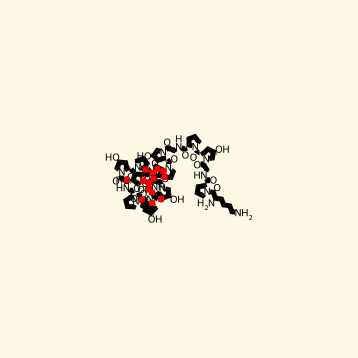 NCCCC[C@H](N)C(=O)N1CCC[C@H]1C(=O)NCC(=O)N1C[C@H](O)C[C@H]1C(=O)N1CCC[C@H]1C(=O)NCC(=O)N1C[C@H](O)C[C@H]1C(=O)N1CCC[C@H]1C(=O)NCC(=O)N1C[C@H](O)C[C@H]1C(=O)N1CCC[C@H]1C(=O)NCC(=O)N1C[C@H](O)C[C@H]1C(=O)N1CCC[C@H]1C(=O)NCC(=O)N1C[C@H](O)C[C@H]1C(=O)N1CCC[C@H]1C(=O)NCC(=O)N1C[C@H](O)C[C@H]1C(=O)N1CCC[C@H]1C(=O)O